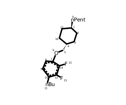 CCCCC[C@H]1CC[C@H](COc2ccc(CCCC)c(F)c2F)CC1